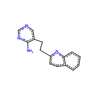 Nc1ncncc1CCc1ccc2ccccc2n1